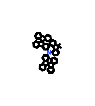 CC1(C)c2ccccc2-c2c(N(c3ccc4c(c3)-c3ccccc3C43C4=C(C=CCC4)c4ccccc43)c3ccc4c(c3)C3(C5=C(C=C=C=C5)c5ccccc53)c3ccccc3-4)cccc21